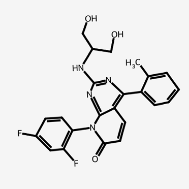 Cc1ccccc1-c1nc(NC(CO)CO)nc2c1ccc(=O)n2-c1ccc(F)cc1F